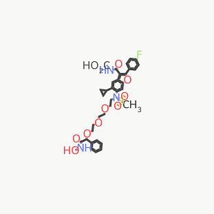 CS(=O)(=O)N(CCOCCOCCOC(C(=O)NO)c1ccccc1)c1cc2oc(-c3ccc(F)cc3)c(C(=O)NC(=O)O)c2cc1C1CC1